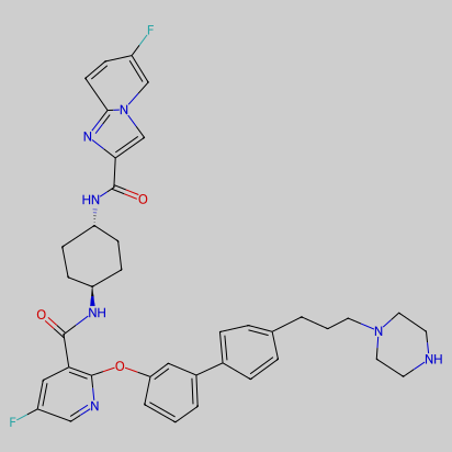 O=C(N[C@H]1CC[C@H](NC(=O)c2cc(F)cnc2Oc2cccc(-c3ccc(CCCN4CCNCC4)cc3)c2)CC1)c1cn2cc(F)ccc2n1